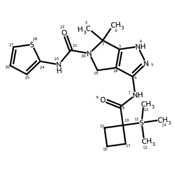 CC1(C)c2[nH]nc(NC(=O)C3(S(C)(C)C)CCC3)c2CN1C(=O)Nc1cccs1